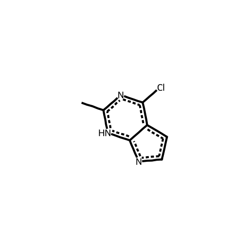 Cc1nc(Cl)c2ccnc-2[nH]1